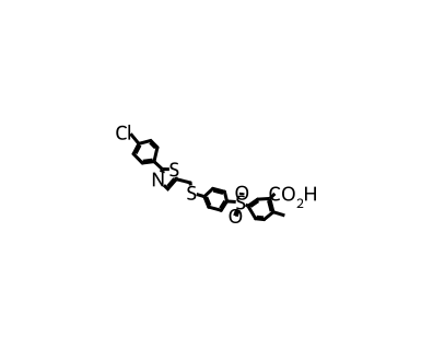 Cc1ccc(S(=O)(=O)c2ccc(SCc3cnc(-c4ccc(Cl)cc4)s3)cc2)cc1C(=O)O